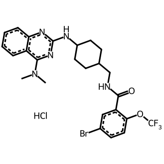 CN(C)c1nc(NC2CCC(CNC(=O)c3cc(Br)ccc3OC(F)(F)F)CC2)nc2ccccc12.Cl